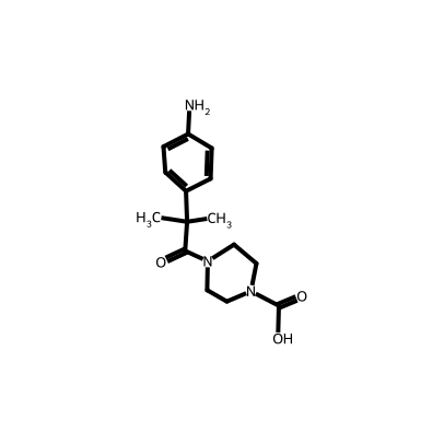 CC(C)(C(=O)N1CCN(C(=O)O)CC1)c1ccc(N)cc1